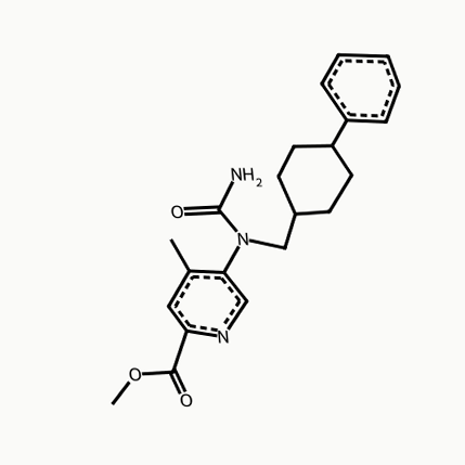 COC(=O)c1cc(C)c(N(CC2CCC(c3ccccc3)CC2)C(N)=O)cn1